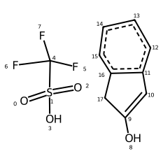 O=S(=O)(O)C(F)(F)F.OC1=Cc2ccccc2C1